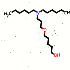 CCCCCCN(CCCCCC)CCCOCCCCCO